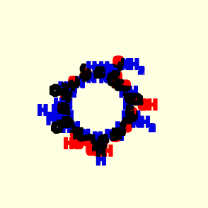 CCCC[C@H]1C(=O)N[C@@H](CN)C(=O)N[C@H](CC(=O)NCC(N)=O)CSCC(=O)N[C@@H](Cc2ccc(O)cc2)C(=O)N(C)[C@@H](C)C(=O)N[C@@H](CC(N)=O)C(=O)N2CCC[C@H]2C(=O)N[C@@H](Cc2c[nH]cn2)C(=O)N[C@@H](CCC(=O)O)C(=O)N2C[C@H](O)C[C@H]2C(=O)N[C@@H](Cc2c[nH]c3ccccc23)C(=O)N[C@@H](CCN)C(=O)N[C@@H](Cc2c[nH]c3ccccc23)C(=O)N(C)[C@@H](C(C)CC)C(=O)N1C